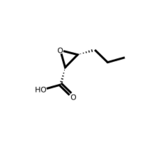 CCC[C@H]1O[C@H]1C(=O)O